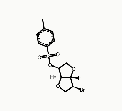 Cc1ccc(S(=O)(=O)O[C@H]2CO[C@H]3[C@H]2OC[C@@H]3Br)cc1